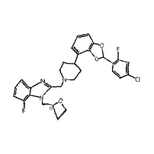 Fc1cc(Cl)ccc1C1Oc2cccc(C3CCN(Cc4nc5cccc(F)c5n4C[C@@H]4CCO4)CC3)c2O1